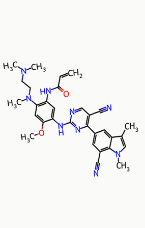 C=CC(=O)Nc1cc(Nc2ncc(C#N)c(-c3cc(C#N)c4c(c3)c(C)cn4C)n2)c(OC)cc1N(C)CCN(C)C